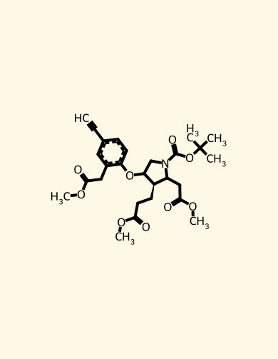 C#Cc1ccc(OC2CN(C(=O)OC(C)(C)C)C(CC(=O)OC)[C@H]2CCC(=O)OC)c(CC(=O)OC)c1